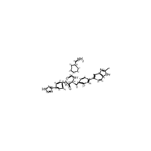 Cc1nc2cc(-c3ccc(C[C@H](NC(=O)[C@H]4CC[C@H](CN)CC4)C(=O)Nc4ccc(-c5nn[nH]n5)cc4)cc3)ccc2[nH]1